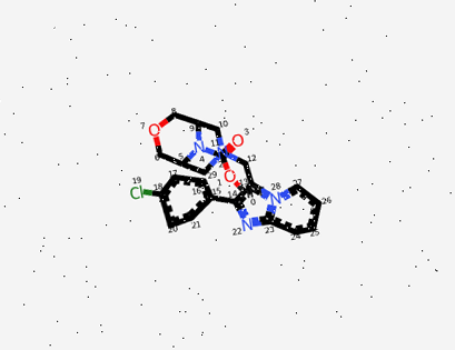 CCCOC(=O)N1C2COCC1CN(Cc1c(-c3ccc(Cl)cc3)nc3ccccn13)C2